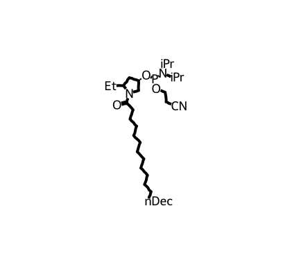 CCCCCCCCCCCCCCCCCCCCCC(=O)N1C[C@@H](OP(OCCC#N)N(C(C)C)C(C)C)CC1CC